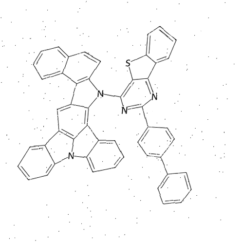 c1ccc(-c2ccc(-c3nc(-n4c5ccc6ccccc6c5c5cc6c7ccccc7n7c8ccccc8c(c54)c67)c4sc5ccccc5c4n3)cc2)cc1